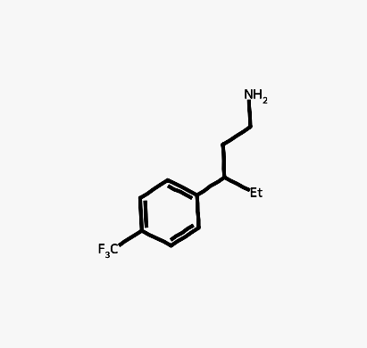 CCC(CCN)c1ccc(C(F)(F)F)cc1